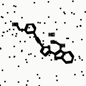 CC(C)(C)Nc1c(-c2ccc(C#Cc3cccc(CO)c3)s2)nc2ccccn12.Cl